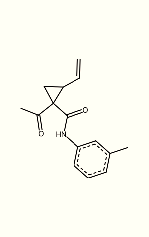 C=CC1CC1(C(C)=O)C(=O)Nc1cccc(C)c1